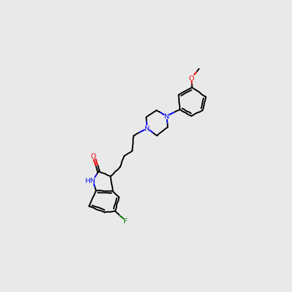 COc1cccc(N2CCN(CCCCC3C(=O)Nc4ccc(F)cc43)CC2)c1